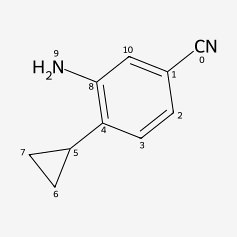 N#Cc1ccc(C2CC2)c(N)c1